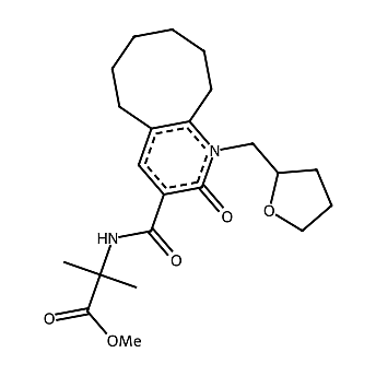 COC(=O)C(C)(C)NC(=O)c1cc2c(n(CC3CCCO3)c1=O)CCCCCC2